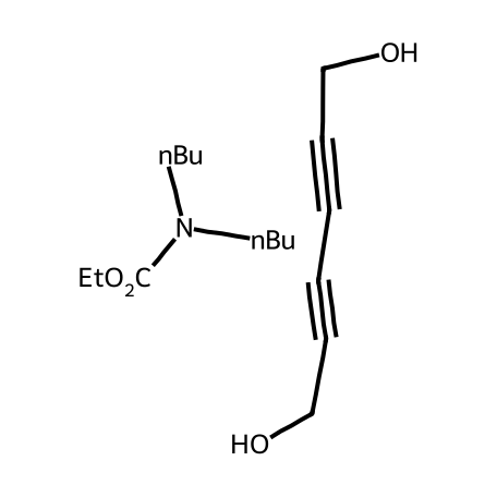 CCCCN(CCCC)C(=O)OCC.OCC#CC#CCO